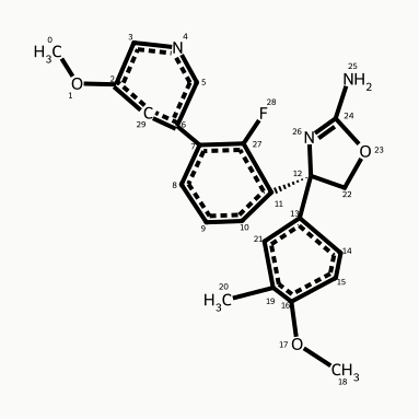 COc1cncc(-c2cccc([C@@]3(c4ccc(OC)c(C)c4)COC(N)=N3)c2F)c1